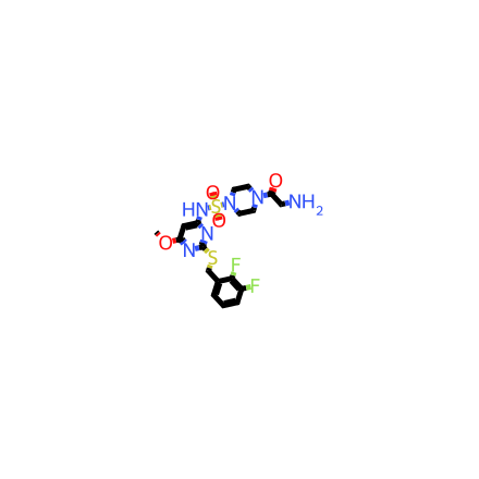 COc1cc(NS(=O)(=O)N2CCN(C(=O)CN)CC2)nc(SCc2cccc(F)c2F)n1